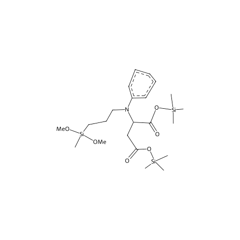 CO[Si](C)(CCCN(c1ccccc1)C(CC(=O)O[Si](C)(C)C)C(=O)O[Si](C)(C)C)OC